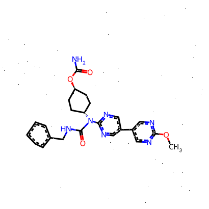 COc1ncc(-c2cnc(N(C(=O)NCc3ccccc3)[C@H]3CC[C@H](OC(N)=O)CC3)nc2)cn1